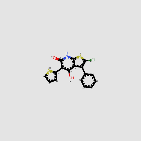 O=c1[nH]c2sc(Cl)c(-c3ccccc3)c2c(O)c1-c1cccs1